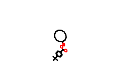 CC(C)(C)c1ccc(C(=O)OO[C]2CCCCCCCCCCC2)cc1